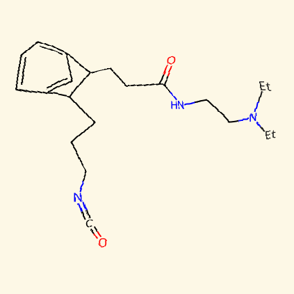 CCN(CC)CCNC(=O)CCC1c2cccc(c2)C1CCCN=C=O